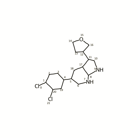 ClC1CCC(C2CNC3NCC(C4CCOC4)C3C2)CC1Cl